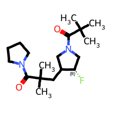 CC(C)(C)C(=O)N1CC(CC(C)(C)C(=O)N2CCCC2)[C@@H](F)C1